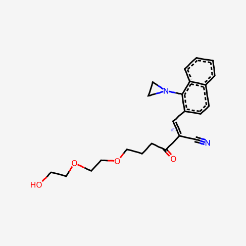 N#C/C(=C\c1ccc2ccccc2c1N1CC1)C(=O)CCCOCCOCCO